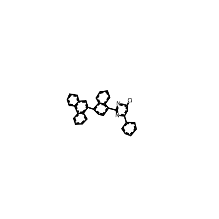 Clc1cc(-c2ccccc2)nc(-c2ccc(-c3cc4ccccc4c4ccccc34)c3ccccc23)n1